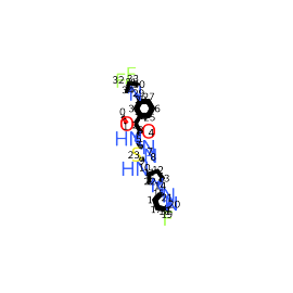 COC(C(=O)Nc1nnc(N[C@@H]2CCN(c3ccc(F)nn3)C2)s1)c1cccc(N2CC(F)(F)C2)c1